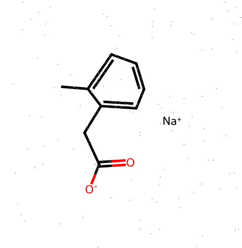 Cc1ccccc1CC(=O)[O-].[Na+]